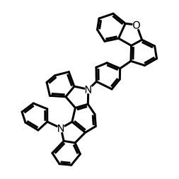 c1ccc(-n2c3ccccc3c3ccc4c(c5ccccc5n4-c4ccc(-c5cccc6oc7ccccc7c56)cc4)c32)cc1